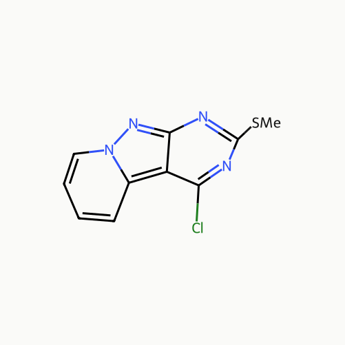 CSc1nc(Cl)c2c(n1)nn1ccccc21